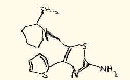 C[C@@H]1CCCN1Cc1sc(N)nc1-c1cccs1